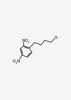 [O]CCCCc1ccc([N+](=O)[O-])cc1[N+](=O)[O-]